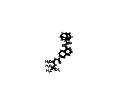 CC(CC(=O)N1CCc2c(ncnc2NC(=O)C23CC4CC(CC(C4)C2)C3)C1)CC(C)(C)C